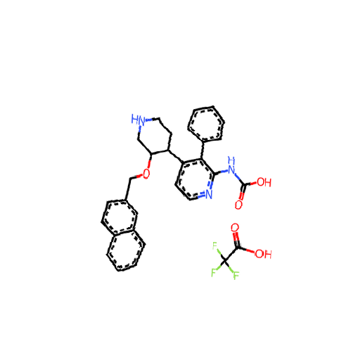 O=C(O)C(F)(F)F.O=C(O)Nc1nccc(C2CCNCC2OCc2ccc3ccccc3c2)c1-c1ccccc1